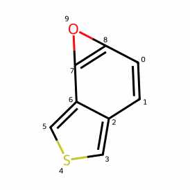 c1cc2cscc2c2c1O2